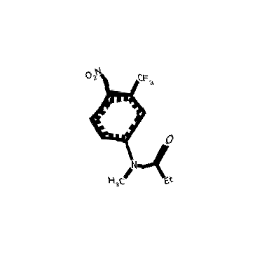 CCC(=O)N(C)c1ccc([N+](=O)[O-])c(C(F)(F)F)c1